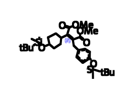 COC(=O)/C(Cc1ccc(O[Si](C)(C)C(C)(C)C)cc1)=C(\C(=O)OC)C1CCC(O[Si](C)(C)C(C)(C)C)CC1